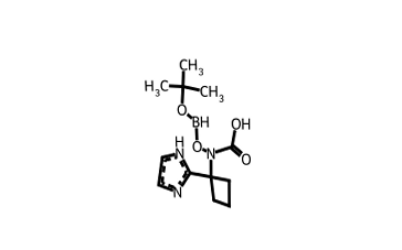 CC(C)(C)OBON(C(=O)O)C1(c2ncc[nH]2)CCC1